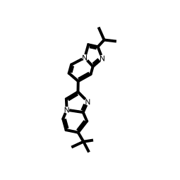 CC(C)c1cn2ccc(-c3cn4ccc(C(C)(C)C)cc4n3)cc2n1